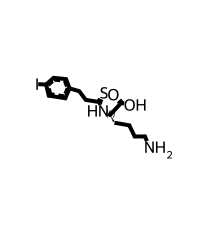 NCCCC[C@H](NC(=S)CCc1ccc(I)cc1)C(=O)O